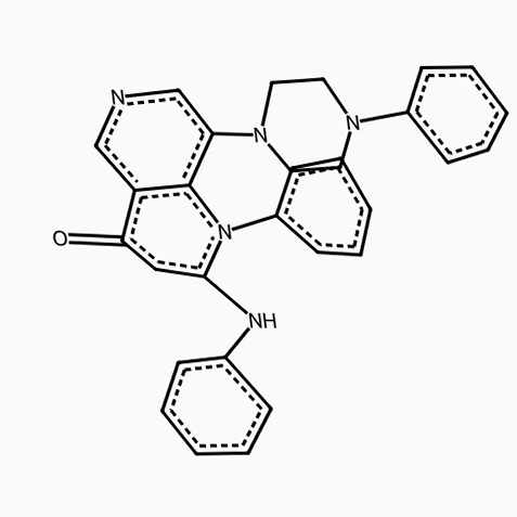 O=c1cc(Nc2ccccc2)n(-c2ccccc2)c2c(N3CCN(c4ccccc4)CC3)cncc12